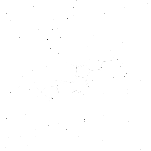 CCCCn1cc(Cl)c2c(NC(=O)OC(C)(C)C)cccc21